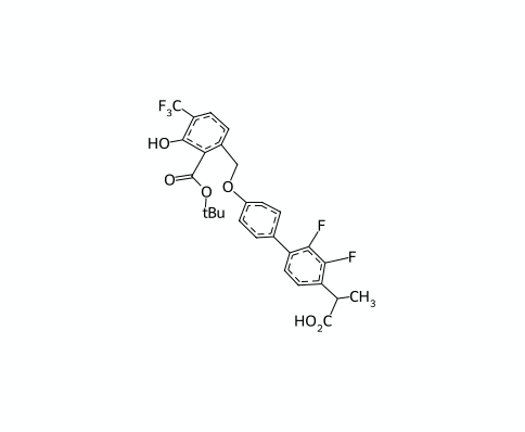 CC(C(=O)O)c1ccc(-c2ccc(OCc3ccc(C(F)(F)F)c(O)c3C(=O)OC(C)(C)C)cc2)c(F)c1F